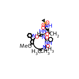 C=C[C@@H]1C[C@]1(NC(=O)[C@@H]1C[C@@H]2CN1C(=O)[C@H](C1CCCCC1)NC(=O)N(C)CC(C)(C)CCCc1cc3c(nc4ccccc4c3cc1OC)O2)C(=O)NS(=O)(=O)C1CC1